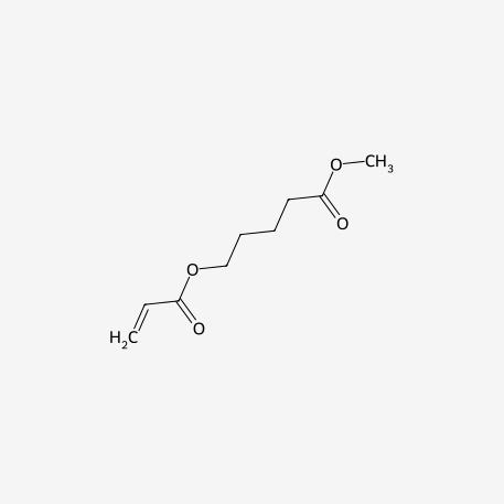 C=CC(=O)OCCCCC(=O)OC